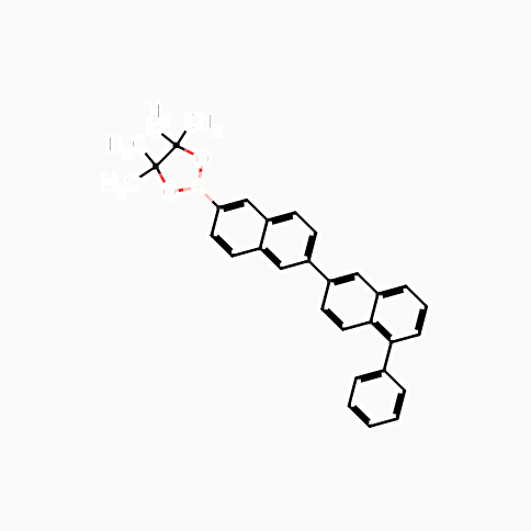 CC1(C)OB(c2ccc3cc(-c4ccc5c(-c6ccccc6)cccc5c4)ccc3c2)OC1(C)C